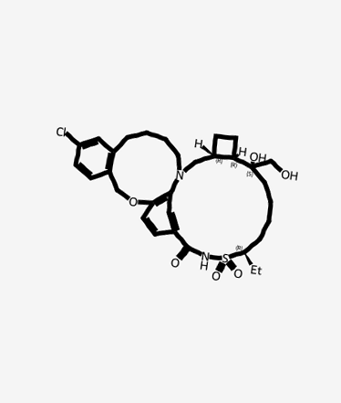 CC[C@@H]1CCCC[C@@](O)(CO)[C@@H]2CC[C@H]2CN2CCCCc3cc(Cl)ccc3COc3ccc(cc32)C(=O)NS1(=O)=O